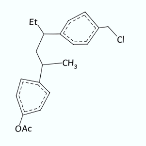 CCC(CC(C)c1ccc(OC(C)=O)cc1)c1ccc(CCl)cc1